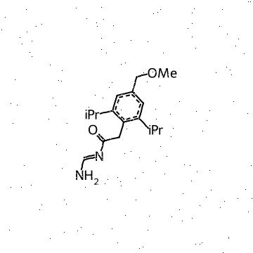 COCc1cc(C(C)C)c(CC(=O)/N=C/N)c(C(C)C)c1